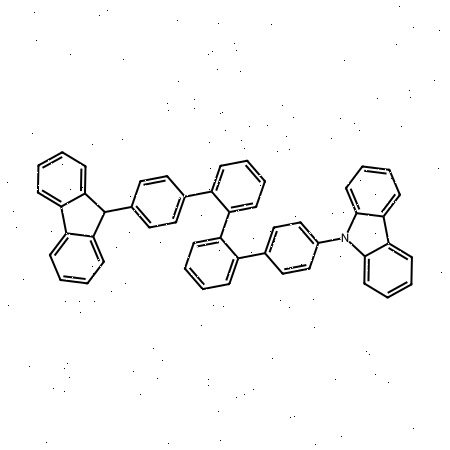 c1ccc(-c2ccccc2-c2ccc(-n3c4ccccc4c4ccccc43)cc2)c(-c2ccc(C3c4ccccc4-c4ccccc43)cc2)c1